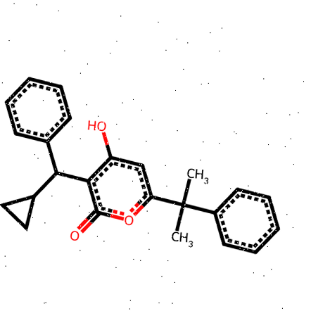 CC(C)(c1ccccc1)c1cc(O)c(C(c2ccccc2)C2CC2)c(=O)o1